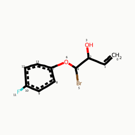 C=CC(O)C(Br)Oc1ccc(F)cc1